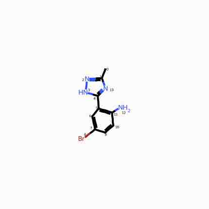 Cc1n[nH]c(-c2cc(Br)ccc2N)n1